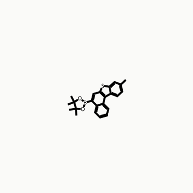 Cc1ccc2c(c1)sc1cc(B3OC(C)(C)C(C)(C)O3)c3ccccc3c12